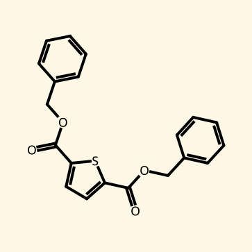 O=C(OCc1ccccc1)c1ccc(C(=O)OCc2ccccc2)s1